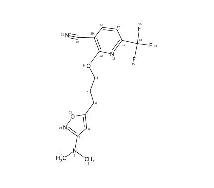 CN(C)c1cc(CCCOc2nc(C(F)(F)F)ccc2C#N)on1